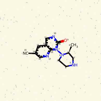 C[C@H]1CNCCN1n1c(=O)ncc2cc(C#N)cnc21